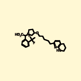 CC(F)(F)c1ccccc1C(C(=O)O)N1CC[C@@H](OCCCCCc2ccc3c(n2)NCCC3)C1